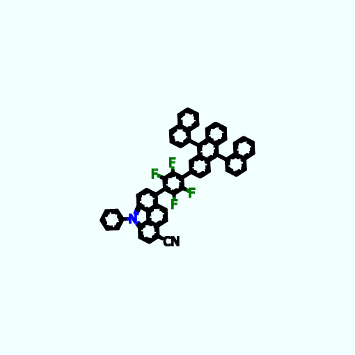 N#Cc1ccc2c3c1ccc1c(-c4c(F)c(F)c(-c5ccc6c(-c7cccc8ccccc78)c7ccccc7c(-c7cccc8ccccc78)c6c5)c(F)c4F)ccc(c13)n2-c1ccccc1